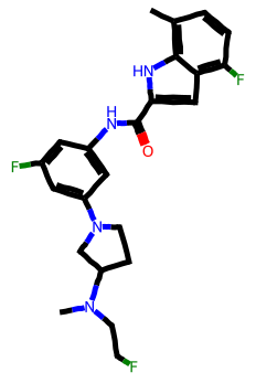 Cc1ccc(F)c2cc(C(=O)Nc3cc(F)cc(N4CCC(N(C)CCF)C4)c3)[nH]c12